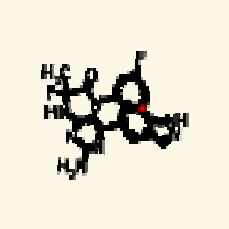 CC1(F)Nc2nc(N)nc(-c3ccc4[nH]ncc4c3)c2N(c2cccc(F)c2)C1=O